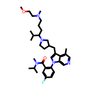 COCCN(C)CCCC(C(C)C)N1CCC(Cc2cn(-c3ccc(F)cc3C(=O)N(C)C(C)C)c3cncc(C)c23)C1